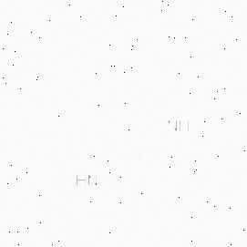 CC(C)(C)NS(C)(C)NC(C)(C)C